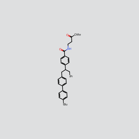 COC(=O)CCNC(=O)c1ccc(C(Cc2ccc(-c3ccc(C(C)(C)C)cc3)cc2)CC(C)C)cc1